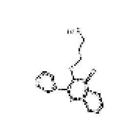 O=C(O)CCCOc1c(-c2ccccc2)oc2ccccc2c1=O